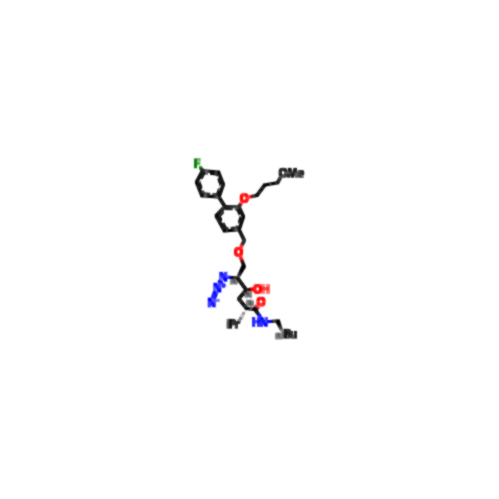 CC[C@H](C)CNC(=O)[C@@H](C[C@H](O)[C@H](COCc1ccc(-c2ccc(F)cc2)c(OCCCOC)c1)N=[N+]=[N-])C(C)C